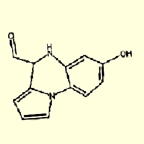 O=CC1Nc2cc(O)ccc2-n2cccc21